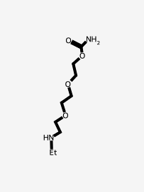 CCNCCOCCOCCOC(N)=O